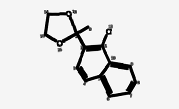 CC1(c2ccc3ccccc3c2Cl)OCCO1